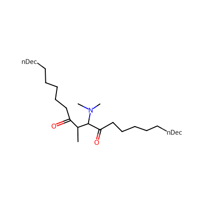 CCCCCCCCCCCCCCCC(=O)C(C)C(C(=O)CCCCCCCCCCCCCCC)N(C)C